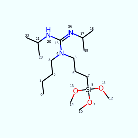 CCCCN(CCC[Si](OC)(OC)OC)/C(=N\C(C)C)NC(C)C